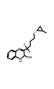 CC1C[C@H]1CCCCC(F)(F)C1=Nc2ccccc2NC1O